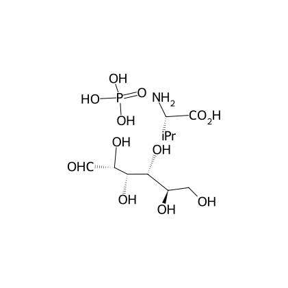 CC(C)[C@H](N)C(=O)O.O=C[C@H](O)[C@@H](O)[C@H](O)[C@H](O)CO.O=P(O)(O)O